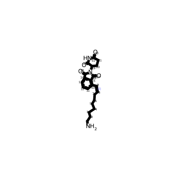 NCCCCCCC/C=C\c1cccc2c1C(=O)N(C1CCC(=O)NC1=O)C2=O